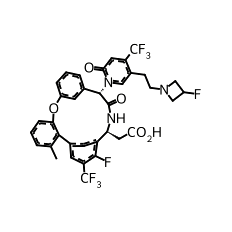 Cc1cccc2c1-c1cc(c(F)c(C(F)(F)F)c1)[C@H](CC(=O)O)NC(=O)[C@@H](n1cc(CCN3CC(F)C3)c(C(F)(F)F)cc1=O)c1cccc(c1)O2